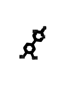 CCC(C)c1ccc(-c2cnc(=O)[nH]c2)cc1O